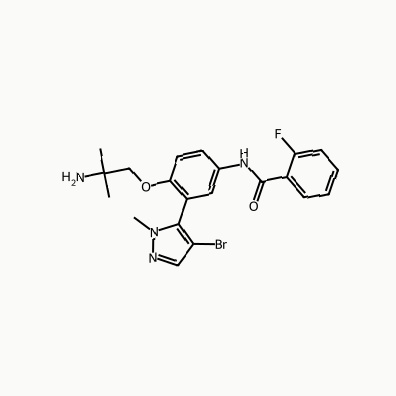 Cn1ncc(Br)c1-c1cc(NC(=O)c2ccccc2F)ccc1OCC(C)(C)N